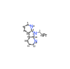 CC(C)Cn1c2ncccc2c2cccnc21